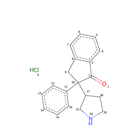 Cl.O=C1c2ccccc2CC1(c1ccccc1)C1CCNC1